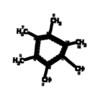 [CH]c1c([CH])c(C)c(C)c(C)c1C